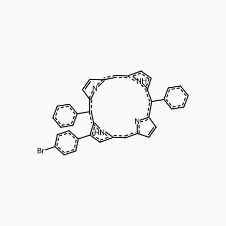 Brc1ccc(-c2cc3cc4nc(c(-c5ccccc5)c5ccc(cc6nc(c(-c7ccccc7)c2[nH]3)C=C6)[nH]5)C=C4)cc1